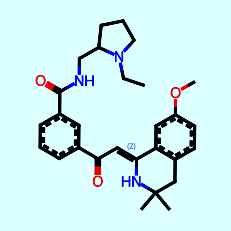 CCN1CCCC1CNC(=O)c1cccc(C(=O)/C=C2\NC(C)(C)Cc3ccc(OC)cc32)c1